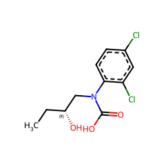 CC[C@@H](O)CN(C(=O)O)c1ccc(Cl)cc1Cl